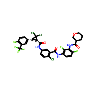 O=C(Nc1ccc(F)c(NC(=O)C2CCCOC2)c1F)c1cc(NC(=O)[C@H]2[C@H](c3ccc(F)c(C(F)(F)F)c3)C2(Cl)Cl)ccc1Cl